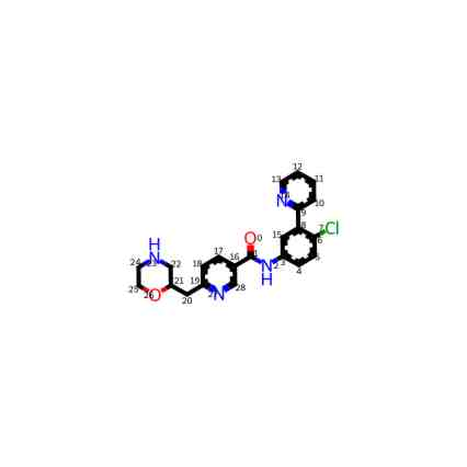 O=C(Nc1ccc(Cl)c(-c2ccccn2)c1)c1ccc(CC2CNCCO2)nc1